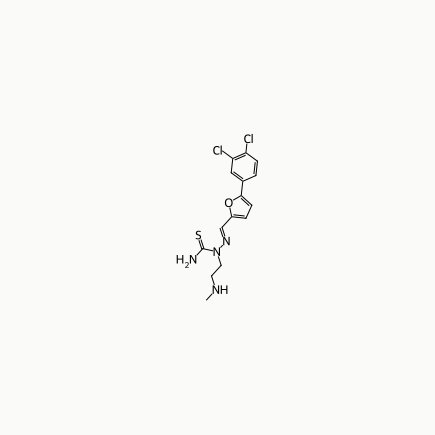 CNCCN(/N=C/c1ccc(-c2ccc(Cl)c(Cl)c2)o1)C(N)=S